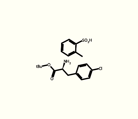 CC(C)(C)OC(=O)[C@@H](N)Cc1ccc(Cl)cc1.Cc1ccccc1S(=O)(=O)O